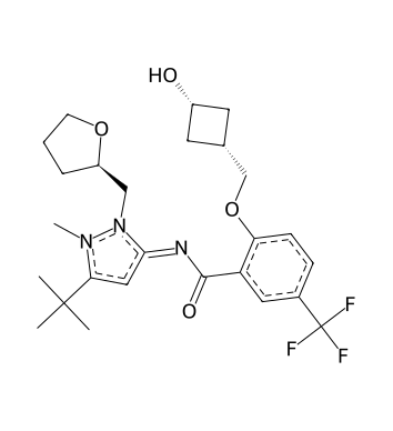 Cn1c(C(C)(C)C)c/c(=N\C(=O)c2cc(C(F)(F)F)ccc2OC[C@H]2C[C@@H](O)C2)n1C[C@H]1CCCO1